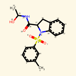 Cc1[c]ccc(S(=O)(=O)N2c3ccccc3CC2C(=O)NC(C)O)c1